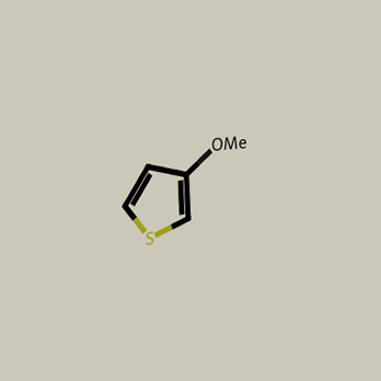 [CH2]Oc1ccsc1